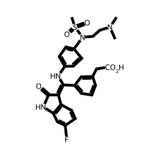 CN(C)CCN(c1ccc(N/C(=C2\C(=O)Nc3cc(F)ccc32)c2cccc(CC(=O)O)c2)cc1)S(C)(=O)=O